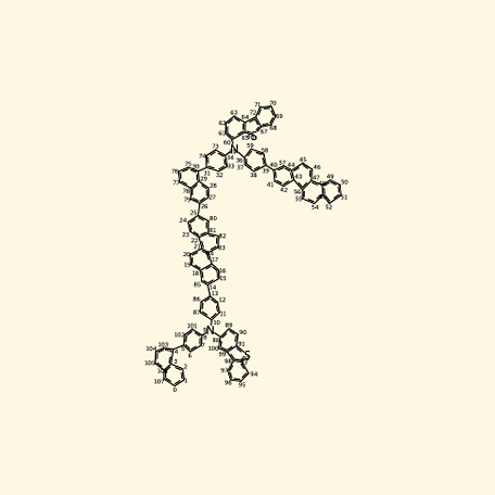 c1ccc2c(-c3ccc(N(c4ccc(-c5ccc6c(ccc7c8ccc(-c9ccc%10c(-c%11ccc(N(c%12ccc(-c%13ccc%14c(ccc%15c%16ccccc%16ccc%14%15)c%13)cc%12)c%12cccc%13c%12sc%12ccccc%12%13)cc%11)cccc%10c9)cc8ccc67)c5)cc4)c4ccc5sc6ccccc6c5c4)cc3)cccc2c1